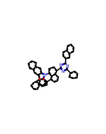 c1ccc(-c2nc(-c3ccc4ccccc4c3)nc(-c3ccc(-n4c5cc6ccccc6cc5c5c6ccccc6ccc54)c4c(-c5ccccc5)cccc34)n2)cc1